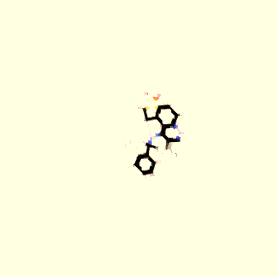 CC(C)(Nc1c(C#N)cnc2ccc3c(c12)CCS3(=O)=O)c1ccccc1